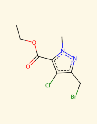 CCOC(=O)c1c(Cl)c(CBr)nn1C